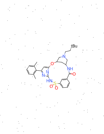 Cc1cccc(C)c1-c1cc2nc(n1)NS(=O)(=O)c1cccc(c1)C(=O)NC1CC(CN(CCC(C)(C)C)C1)O2